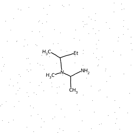 CCC(C)N(C)C(C)N